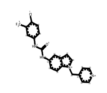 O=C(Nc1ccc(Cl)c(C(F)(F)F)c1)Nc1ccc2c(ccn2Cc2ccncc2)c1